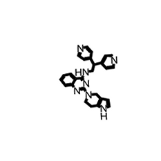 c1ccc2c(NCC(c3ccncc3)c3ccncc3)nc(N3CCc4[nH]ccc4C3)nc2c1